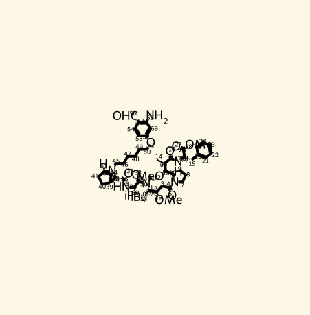 CC[C@H](C)[C@@H]([C@@H](CC(=O)N1CCC[C@H]1[C@H](OC)[C@@H](C)C(=O)N[C@@H](Cc1ccccc1)C(=O)OC)OC)N(C)C(=O)[C@@H](NC(=O)[C@@H]1C2CC[C@@H](C2)N1CCCCCCOc1ccc(C=O)c(N)c1)C(C)C